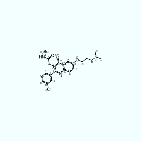 CCCCNC(=O)Cn1c(-c2cccc(Cl)c2)nc2ccc(OCCCN(C)C)cc2c1=O